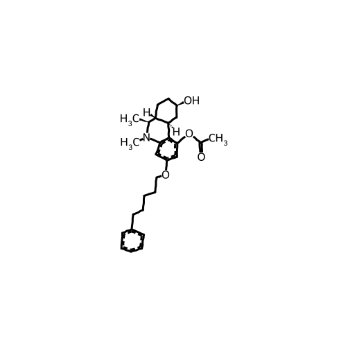 CC(=O)Oc1cc(OCCCCCc2ccccc2)cc2c1[C@@H]1C[C@H](O)CC[C@H]1[C@H](C)N2C